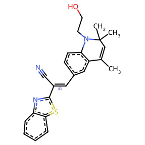 CC1=CC(C)(C)N(CCO)c2ccc(/C=C(\C#N)c3nc4ccccc4s3)cc21